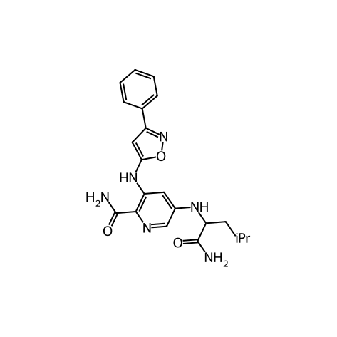 CC(C)CC(Nc1cnc(C(N)=O)c(Nc2cc(-c3ccccc3)no2)c1)C(N)=O